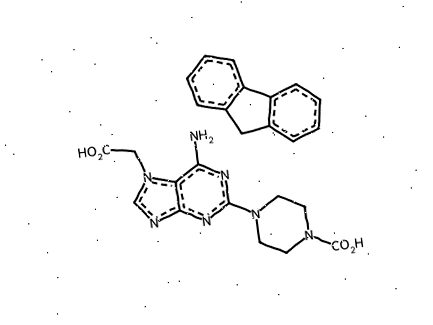 Nc1nc(N2CCN(C(=O)O)CC2)nc2ncn(CC(=O)O)c12.c1ccc2c(c1)Cc1ccccc1-2